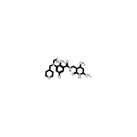 CCN(CC1CCOCC1)c1cc(Cl)cc(C(=O)NCC2C(=O)NC(C)CC2C)c1C